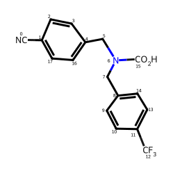 N#Cc1ccc(CN(Cc2ccc(C(F)(F)F)cc2)C(=O)O)cc1